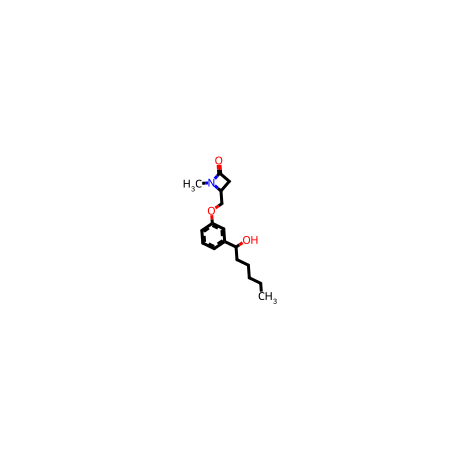 CCCCCC(O)c1cccc(OCC2CC(=O)N2C)c1